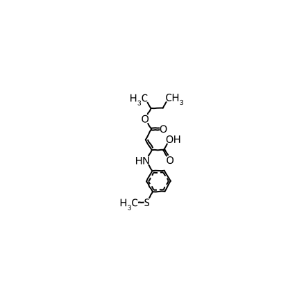 CCC(C)OC(=O)C=C(Nc1cccc(SC)c1)C(=O)O